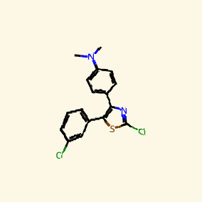 CN(C)c1ccc(-c2nc(Cl)sc2-c2cccc(Cl)c2)cc1